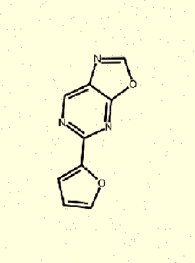 c1coc(-c2ncc3ncoc3n2)c1